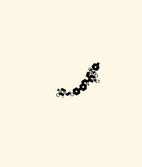 CCn1cc(-c2ccc3cc(-c4ccc(OCCN5CCN(C)C(=O)[C@H]5C)cc4)ccc3n2)c2ccn(S(=O)(=O)c3ccc(C)cc3)c2c1=O